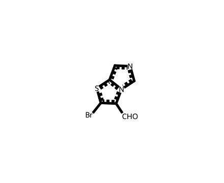 O=Cc1c(Br)sc2cncn12